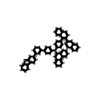 c1cc(-c2ccc(N(c3ccc(-c4c(-c5ccc6ccccc6c5)ccc5ccccc45)cc3)c3cc4ccccc4c4ccccc34)cc2)cc(-c2ccc3c(c2)oc2ccccc23)c1